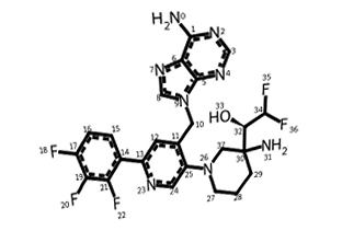 Nc1ncnc2c1ncn2Cc1cc(-c2ccc(F)c(F)c2F)ncc1N1CCCC(N)([C@@H](O)C(F)F)C1